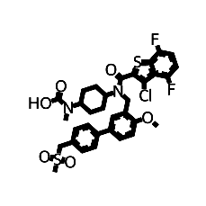 COc1ccc(-c2ccc(CS(C)(=O)=O)cc2)cc1CN(C(=O)c1sc2c(F)ccc(F)c2c1Cl)C1CCC(N(C)C(=O)O)CC1